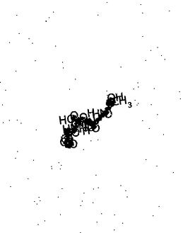 Cc1cc(CCC(=O)NCCCCCC(NC(=O)CNC(=O)C(CCC(=O)O)NC(=O)CNC(=O)c2cccc(C(=O)ON3C(=O)CCC3=O)c2)C(=O)O)ccc1O